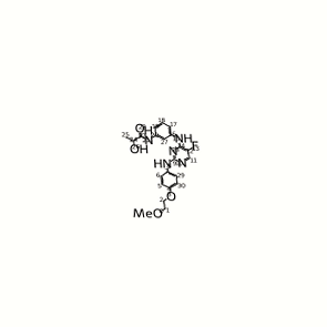 COCCOc1ccc(Nc2ncc(F)c(Nc3cccc(NC(=O)C(C)O)c3)n2)cc1